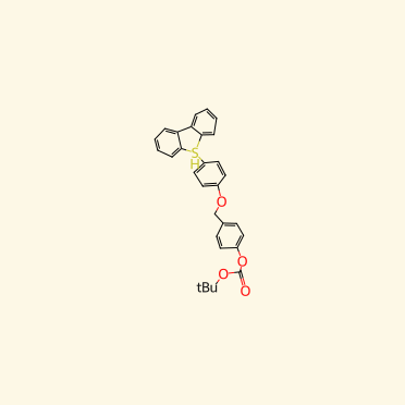 CC(C)(C)OC(=O)Oc1ccc(COc2ccc([SH]3c4ccccc4-c4ccccc43)cc2)cc1